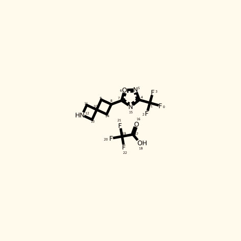 FC(F)(F)c1noc(C2CC3(CNC3)C2)n1.O=C(O)C(F)(F)F